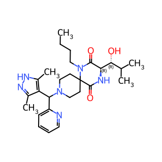 CCCCN1C(=O)[C@@H]([C@H](O)C(C)C)NC(=O)C12CCN(C(c1ccccn1)c1c(C)n[nH]c1C)CC2